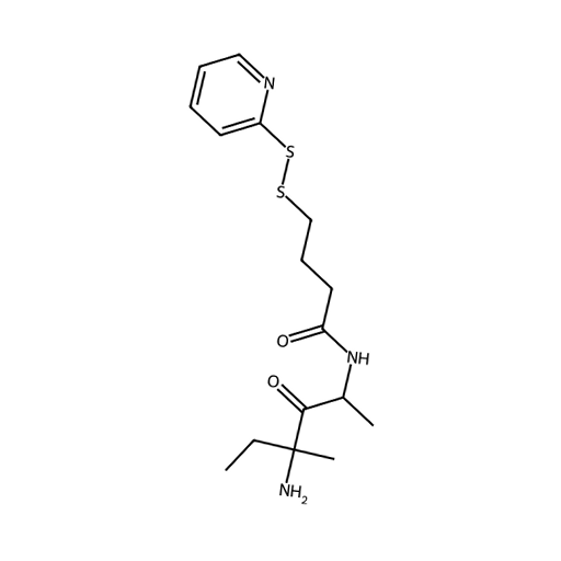 CCC(C)(N)C(=O)C(C)NC(=O)CCCSSc1ccccn1